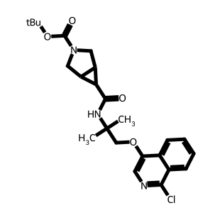 CC(C)(COc1cnc(Cl)c2ccccc12)NC(=O)C1C2CN(C(=O)OC(C)(C)C)CC21